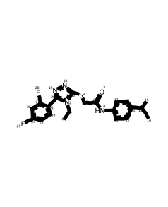 CCn1c(SCC(=O)Nc2ccc(C(C)C)cc2)nnc1-c1ccc(F)cc1F